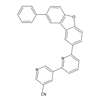 N#Cc1cncc(-c2cccc(-c3ccc4oc5ccc(-c6ccccc6)cc5c4c3)n2)c1